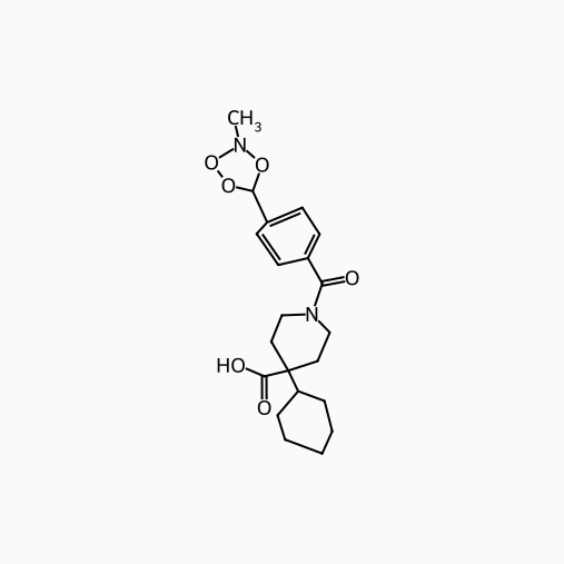 CN1OOC(c2ccc(C(=O)N3CCC(C(=O)O)(C4CCCCC4)CC3)cc2)O1